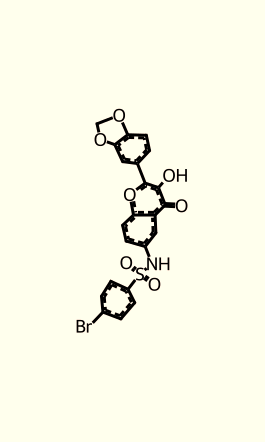 O=c1c(O)c(-c2ccc3c(c2)OCO3)oc2ccc(NS(=O)(=O)c3ccc(Br)cc3)cc12